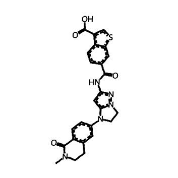 CN1CCc2cc(N3CCn4nc(NC(=O)c5ccc6c(C(=O)O)csc6c5)cc43)ccc2C1=O